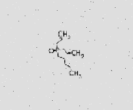 C=CCP(=O)(CC=C)CCCCC